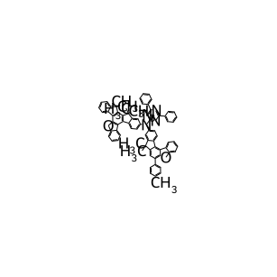 Cc1ccc(-c2cc3c(c4c2oc2ccccc24)-c2ccc(N(c4ccc5c(c4)C(C)(C)c4c6c(c7oc8ccccc8c7c4-5)-c4ccccc4C6(C)C)c4nc(-c5ccccc5)nc(-c5ccccc5)n4)cc2C3(C)C)cc1